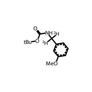 [2H]C([2H])(NC(=O)OC(C)(C)C)c1cccc(OC)c1